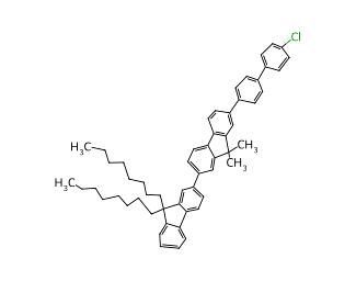 CCCCCCCCC1(CCCCCCCC)c2ccccc2-c2ccc(-c3ccc4c(c3)C(C)(C)c3cc(-c5ccc(-c6ccc(Cl)cc6)cc5)ccc3-4)cc21